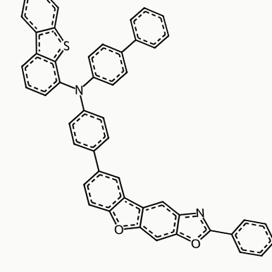 c1ccc(-c2ccc(N(c3ccc(-c4ccc5oc6cc7oc(-c8ccccc8)nc7cc6c5c4)cc3)c3cccc4c3sc3ccccc34)cc2)cc1